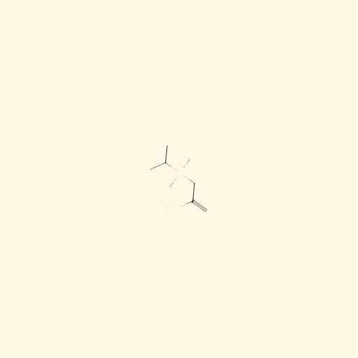 C=C(S)C[PH](C)(C)C(C)C